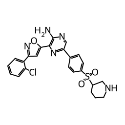 Nc1ncc(-c2ccc(S(=O)(=O)C3CCCNC3)cc2)nc1-c1cc(-c2ccccc2Cl)no1